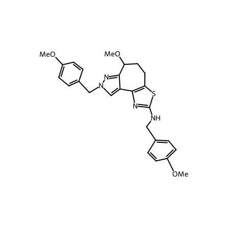 COc1ccc(CNc2nc3c(s2)CCC(OC)c2nn(Cc4ccc(OC)cc4)cc2-3)cc1